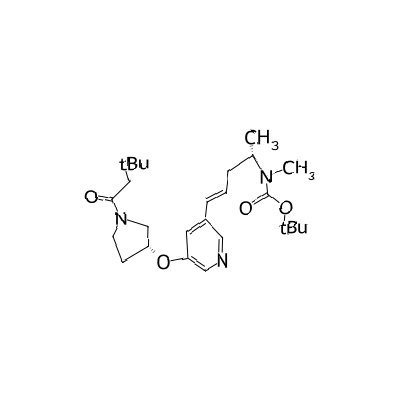 C[C@@H](C/C=C/c1cncc(O[C@@H]2CCN(C(=O)CC(C)(C)C)C2)c1)N(C)C(=O)OC(C)(C)C